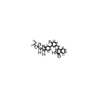 CCC(C)OC(=O)Nc1nc2cc(-c3cc(Cc4n[nH]c(=O)c5ccccc45)ccc3F)ccc2[nH]1